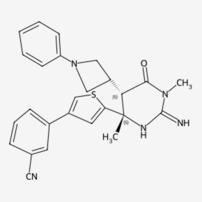 CN1C(=N)N[C@](C)(c2cc(-c3cccc(C#N)c3)cs2)[C@H](C2CN(c3ccccc3)C2)C1=O